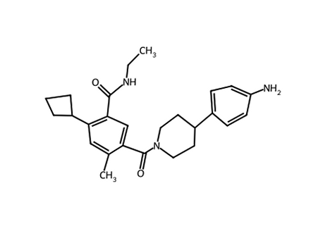 CCNC(=O)c1cc(C(=O)N2CCC(c3ccc(N)cc3)CC2)c(C)cc1C1CCC1